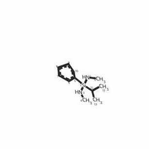 CN[Si](NC)(c1ccccc1)C(C)C